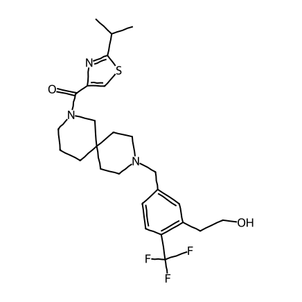 CC(C)c1nc(C(=O)N2CCCC3(CCN(Cc4ccc(C(F)(F)F)c(CCO)c4)CC3)C2)cs1